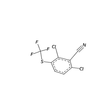 N#Cc1c(Cl)ccc(SC(F)(F)F)c1Cl